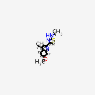 CCNc1nc(-c2cc(CC)c3ccc(OC)cc3n2)cs1